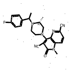 CC(c1ccc(F)cc1)N1CCN(c2c(C#N)c(=O)n(C)c3ccc(C#N)nc23)C[C@H]1C